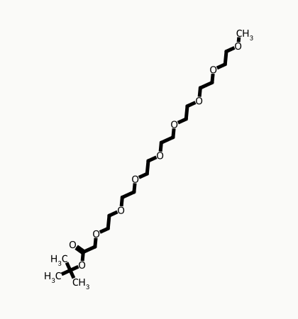 COCCOCCOCCOCCOCCOCCOCCOCC(=O)OC(C)(C)C